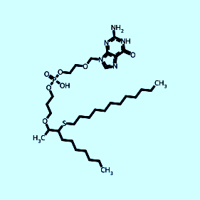 CCCCCCCCCCCCSC(CCCCCCC)C(C)OCCCOP(=O)(O)OCCOCn1cnc2c(=O)[nH]c(N)nc21